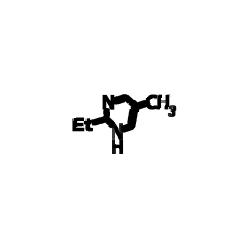 CCC1N=CC(C)=CN1